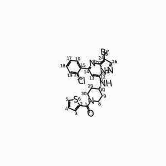 O=C(c1cccs1)N1CCC(Nc2cc(-c3ccccc3Cl)nc3c(Br)cnn23)CC1